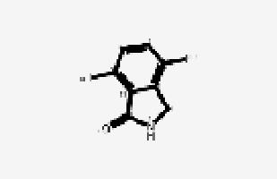 O=C1NCc2c(F)ccc(I)c21